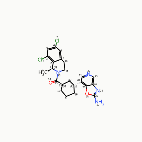 C[C@H]1c2c(Cl)cc(Cl)cc2CCN1C(=O)[C@@H]1CCC[C@@H](c2cncc3nc(N)oc23)C1